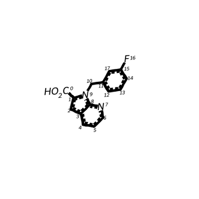 O=C(O)c1cc2cccnc2n1Cc1cccc(F)c1